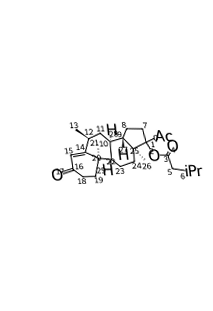 CC(=O)C1(OC(=O)CC(C)C)CC[C@H]2[C@@H]3C[C@H](C)C4=CC(=O)CC[C@]4(C)[C@H]3CC[C@@]21C